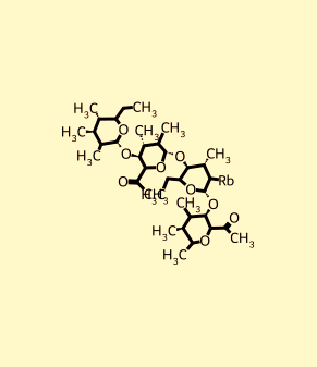 CCC1O[C@H](O[C@@H]2C(C(C)=O)O[C@@H](O[C@@H]3C(CC)O[C@@H](O[C@H]4C(C(C)=O)OC(C)[C@@H](C)C4C)[CH]([Rb])[C@H]3C)C(C)[C@H]2C)C(C)[C@@H](C)[C@@H]1C